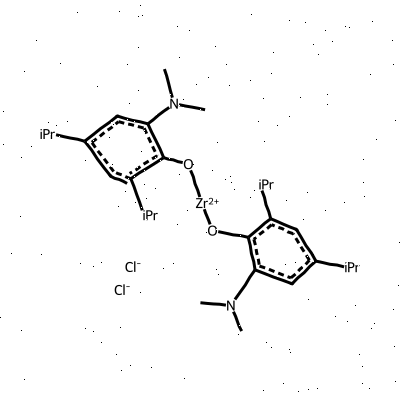 CC(C)c1cc(C(C)C)c([O][Zr+2][O]c2c(C(C)C)cc(C(C)C)cc2N(C)C)c(N(C)C)c1.[Cl-].[Cl-]